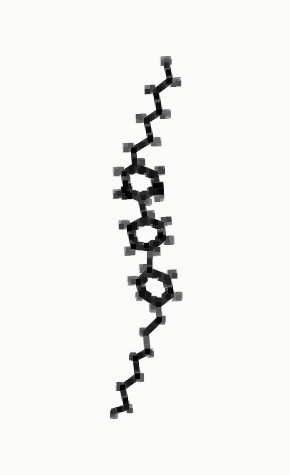 CCCCCCCCc1ccc(-c2ccc(-c3ncc(CCCCCCC)cn3)cc2)cc1